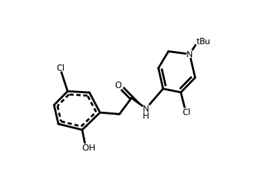 CC(C)(C)N1C=C(Cl)C(NC(=O)Cc2cc(Cl)ccc2O)=CC1